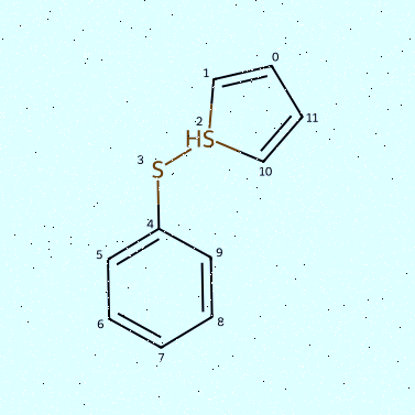 C1=C[SH](Sc2ccccc2)C=C1